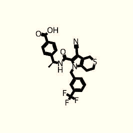 C[C@H](NC(=O)c1c(C#N)c2c(n1Cc1cccc(C(F)(F)F)c1)CCSC2)c1ccc(C(=O)O)cc1